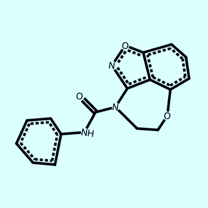 O=C(Nc1ccccc1)N1CCOc2cccc3onc1c23